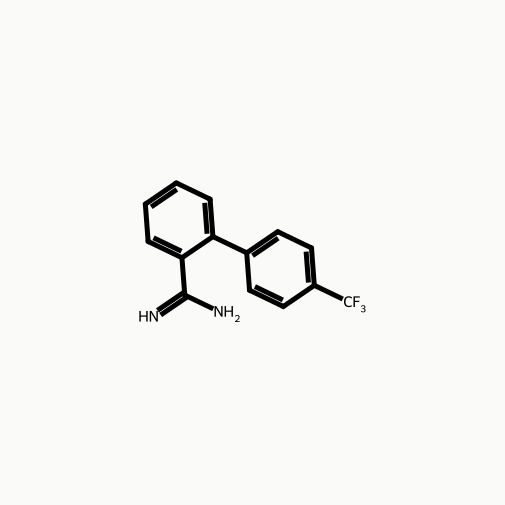 N=C(N)c1ccccc1-c1ccc(C(F)(F)F)cc1